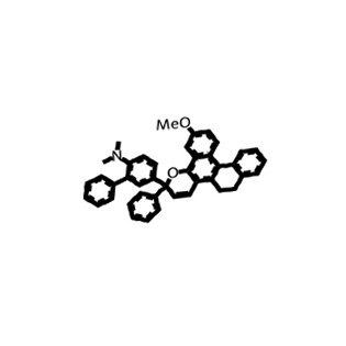 COc1ccc2c3c(c4c(c2c1)OC(c1ccccc1)(c1ccc(N(C)C)c(-c2ccccc2)c1)C=C4)CCc1ccccc1-3